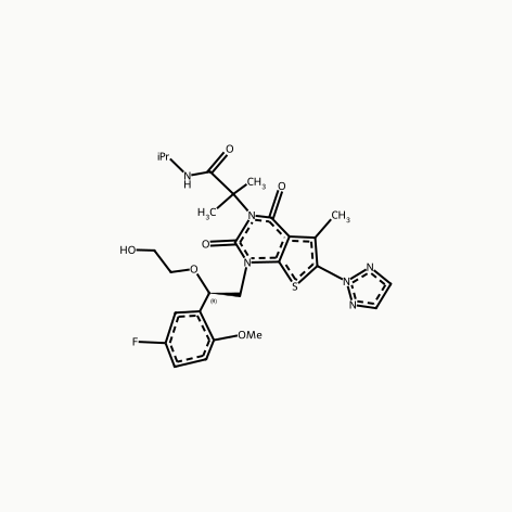 COc1ccc(F)cc1[C@H](Cn1c(=O)n(C(C)(C)C(=O)NC(C)C)c(=O)c2c(C)c(-n3nccn3)sc21)OCCO